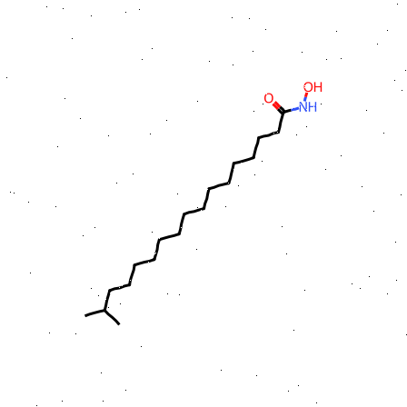 CC(C)CCCCCCCCCCCCCCC(=O)NO